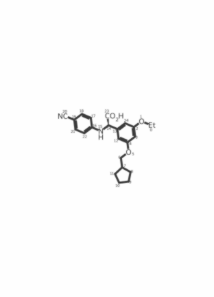 CCOc1cc(OCC2CCCC2)cc([C@@H](Nc2ccc(C#N)cc2)C(=O)O)c1